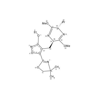 CCOc1noc(C2=NC(C)(C)CO2)c1C[C@H]1N=C(OC)[C@H](C(C)C)N=C1OC